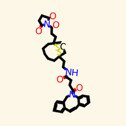 O=C(CCC(=O)N1Cc2ccccc2/C=C\c2ccccc21)NCCC12CCCCCC(CCC(=O)N3C(=O)CCC3=O)(CCC1)SS2